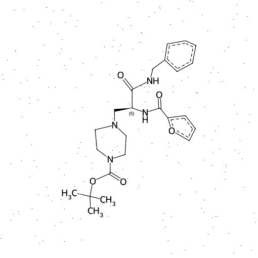 CC(C)(C)OC(=O)N1CCN(C[C@H](NC(=O)c2ccco2)C(=O)NCc2ccccc2)CC1